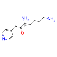 NCCCC[C@@H](N)C(=O)[CH]c1ccncc1